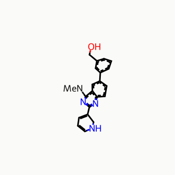 CNc1nc(C2=CC=CNC2)nc2ccc(-c3cccc(CO)c3)cc12